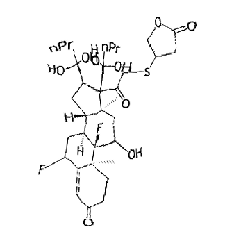 CCCC(O)(O)C1C[C@H]2[C@@H]3CC(F)C4=CC(=O)CC[C@]4(C)[C@@]3(F)C(O)C[C@]2(C)[C@]1(C(=O)CSC1COC(=O)C1)C(O)(O)CCC